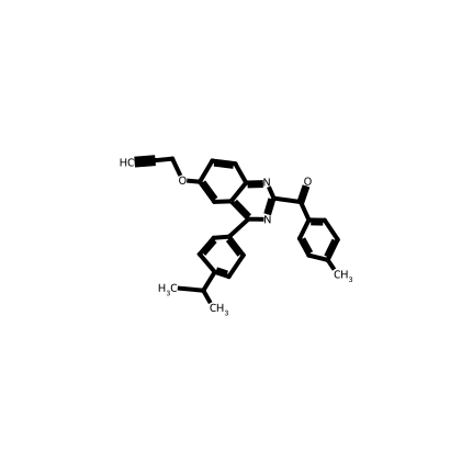 C#CCOc1ccc2nc(C(=O)c3ccc(C)cc3)nc(-c3ccc(C(C)C)cc3)c2c1